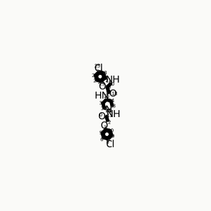 O=C(COc1ccc(Cl)cc1)NN1CCC(NC(=O)C2CNc3cc(Cl)ccc3O2)CC1